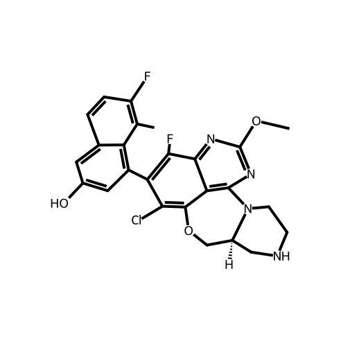 COc1nc2c3c(c(Cl)c(-c4cc(O)cc5ccc(F)c(C)c45)c(F)c3n1)OC[C@@H]1CNCCN21